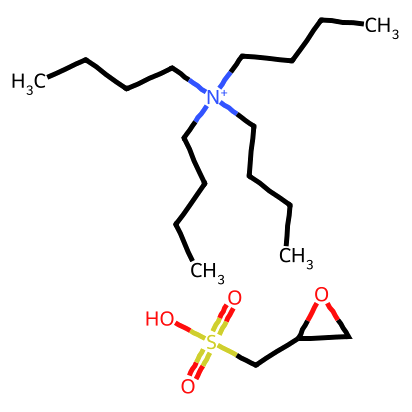 CCCC[N+](CCCC)(CCCC)CCCC.O=S(=O)(O)CC1CO1